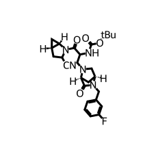 CC(C)(C)OC(=O)NC(CN1C[C@@H]2C[C@H]1C(=O)N2Cc1cccc(F)c1)C(=O)N1C(C#N)C[C@@H]2C[C@@H]21